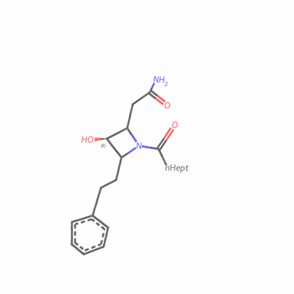 CCCCCCCC(=O)N1C(CCc2ccccc2)[C@@H](O)C1CC(N)=O